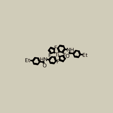 CCc1ccc(C(=O)Nc2ccc(F)[c]([Ti]([c]3c(F)ccc(NC(=O)c4ccc(CC)cc4)c3F)([CH]3C=CC=C3)[CH]3C=CC=C3)c2F)cc1